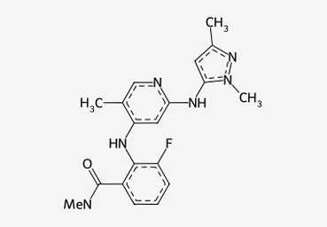 CNC(=O)c1cccc(F)c1Nc1cc(Nc2cc(C)nn2C)ncc1C